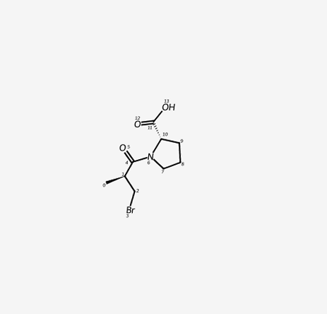 C[C@H](CBr)C(=O)N1CCC[C@H]1C(=O)O